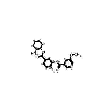 COc1cncc(C(=O)Nc2cc(C(=O)N[C@H]3CCCC[C@@H]3O)ccc2C)c1